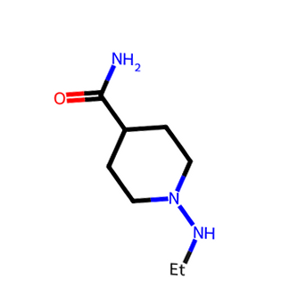 CCNN1CCC(C(N)=O)CC1